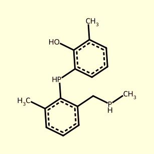 CPCc1cccc(C)c1Pc1cccc(C)c1O